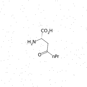 CCCC(=O)C[C@H](N)C(=O)O